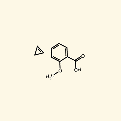 C1=CC1.COc1ccccc1C(=O)O